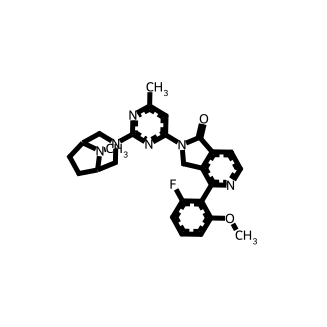 COc1cccc(F)c1-c1nccc2c1CN(c1cc(C)nc(N3CC4CCC(C3)N4C)n1)C2=O